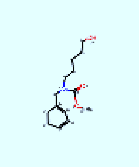 CC(C)(C)OC(=O)N(CCCCCO)Cc1ccccc1